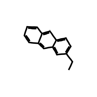 CCc1ccc2[c]c3ccccc3cc2c1